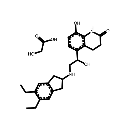 CCc1cc2c(cc1CC)CC(NCC(O)c1ccc(O)c3c1CCC(=O)N3)C2.O=C(O)CO